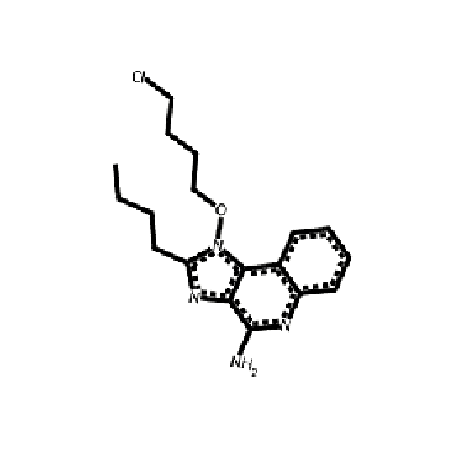 CCCCc1nc2c(N)nc3ccccc3c2n1OCCCCCl